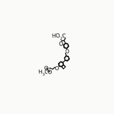 CS(=O)(=O)CCCOc1ccc(-c2cccc(COc3ccc4c(c3)OCC4CC(=O)O)c2)c2c1CC2